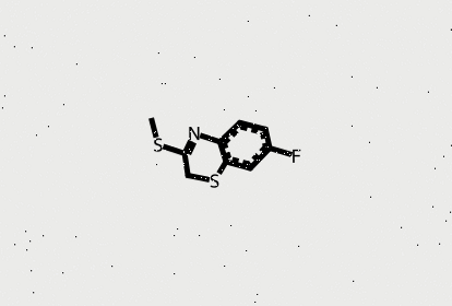 CSC1=Nc2ccc(F)cc2SC1